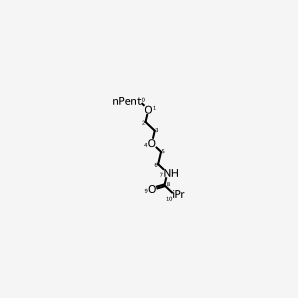 CCCCCOCCOCCNC(=O)C(C)C